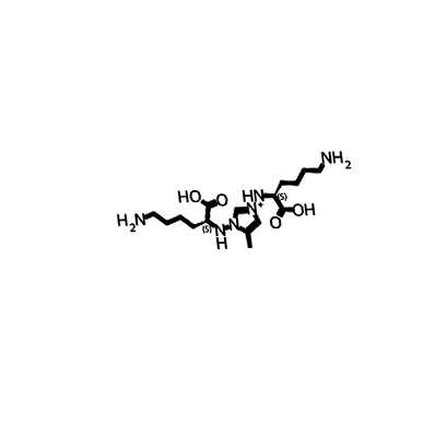 Cc1c[n+](N[C@@H](CCCCN)C(=O)O)cn1N[C@@H](CCCCN)C(=O)O